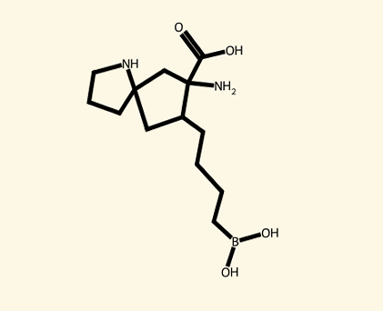 NC1(C(=O)O)CC2(CCCN2)CC1CCCCB(O)O